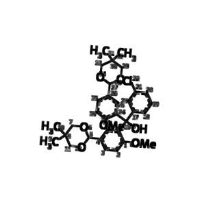 COc1ccc(C2OCC(C)(C)CO2)cc1C(O)(c1cccc(Cl)c1)c1cc(C2OCC(C)(C)CO2)ccc1OC